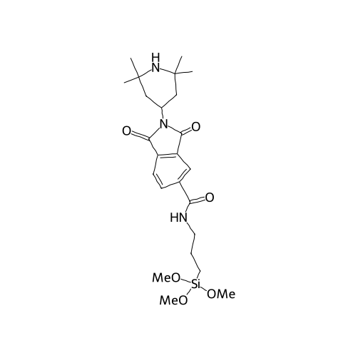 CO[Si](CCCNC(=O)c1ccc2c(c1)C(=O)N(C1CC(C)(C)NC(C)(C)C1)C2=O)(OC)OC